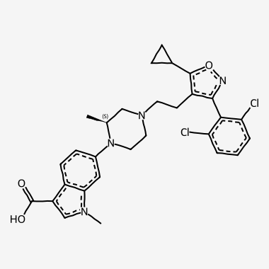 C[C@H]1CN(CCc2c(-c3c(Cl)cccc3Cl)noc2C2CC2)CCN1c1ccc2c(C(=O)O)cn(C)c2c1